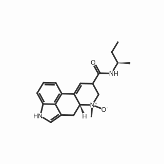 CC[C@@H](C)NC(=O)C1C=C2c3cccc4[nH]cc(c34)C[C@H]2[N+](C)([O-])C1